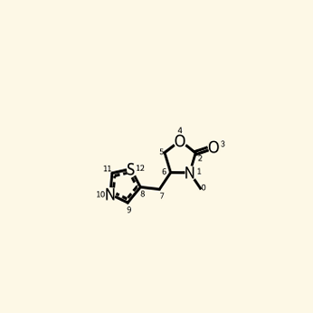 CN1C(=O)OCC1Cc1cncs1